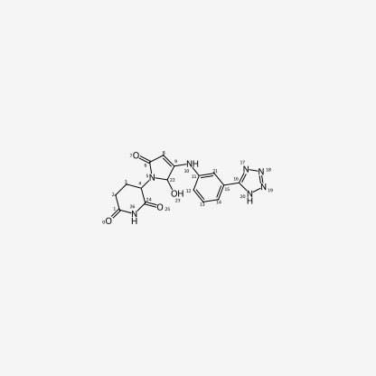 O=C1CCC(N2C(=O)C=C(Nc3cccc(-c4nnn[nH]4)c3)C2O)C(=O)N1